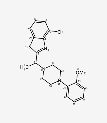 [CH2]C(c1nc2c(Cl)cccc2s1)N1CCN(c2ccccc2OC)CC1